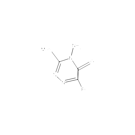 CCc1nnc(SC)n(N)c1=O